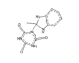 CC1(n2c(=O)[nH]c(=O)[nH]c2=O)Nc2ccccc2N1